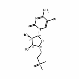 C=C1N=C(N)C(Br)=CN1[C@@H]1O[C@H](CCP(=C)(C)C)[C@@H](O)[C@H]1O